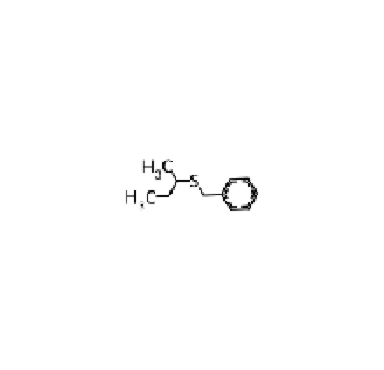 CCC(C)SCc1ccccc1